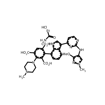 CCC(N)=O.COc1nn(C)cc1Nc1nccc(-c2c[nH]c3c(-c4c(C(=O)O)cc(C(=O)O)c(N5CCN(C)CC5)c4C(=O)O)cccc23)n1.Cl